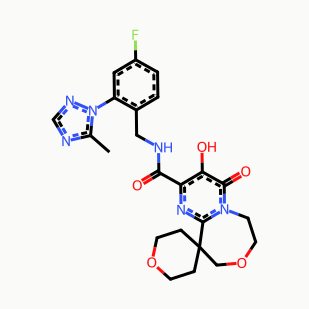 Cc1ncnn1-c1cc(F)ccc1CNC(=O)c1nc2n(c(=O)c1O)CCOCC21CCOCC1